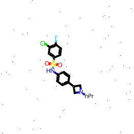 CCCN1CC(c2ccc(NS(=O)(=O)c3ccc(F)c(Cl)c3)cc2)C1